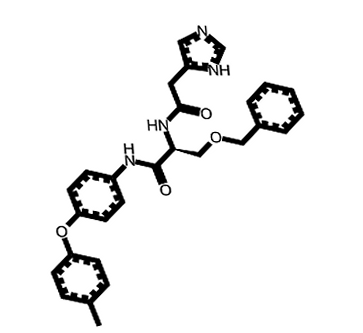 Cc1ccc(Oc2ccc(NC(=O)[C@H](COCc3ccccc3)NC(=O)Cc3cnc[nH]3)cc2)cc1